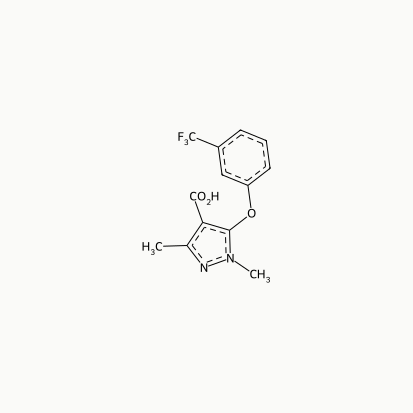 Cc1nn(C)c(Oc2cccc(C(F)(F)F)c2)c1C(=O)O